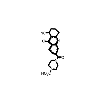 N#CC1CCCc2nc3cc(C(=O)N4CCN(C(=O)O)CC4)ccc3c(Cl)c21